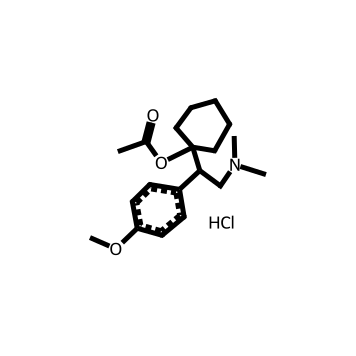 COc1ccc(C(CN(C)C)C2(OC(C)=O)CCCCC2)cc1.Cl